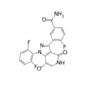 NC(=O)c1ccc(F)c(-c2nn(-c3c(F)cccc3F)c3c(Cl)c[nH]c(=O)c23)c1